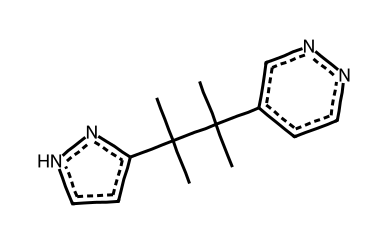 CC(C)(c1ccnnc1)C(C)(C)c1cc[nH]n1